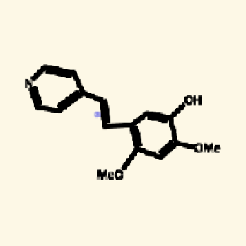 COc1cc(OC)c(/C=C/c2ccncc2)cc1O